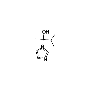 CC(C)C(C)(O)n1ccnc1